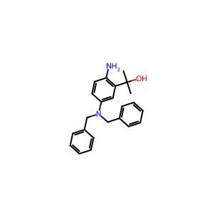 CC(C)(O)c1cc(N(Cc2ccccc2)Cc2ccccc2)ccc1N